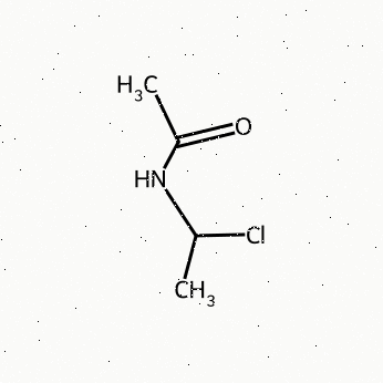 CC(=O)NC(C)Cl